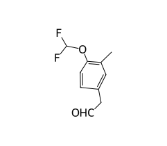 Cc1cc(CC=O)ccc1OC(F)F